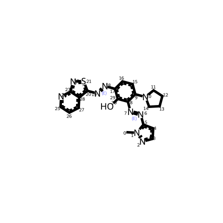 Cn1nccc1/N=N/c1c(N2CCCC2)ccc(/N=N/c2snc3ncccc23)c1O